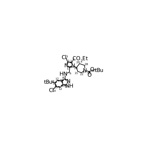 CCOC(=O)c1c(Cl)nc(CNc2n[nH]c3cc(Cl)c(C(C)(C)C)cc23)n1C1CCN(C(=O)OC(C)(C)C)CC1